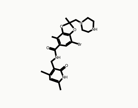 Cc1cc(C)c(CNC(=O)c2cc(Br)c3c(c2C)OC(C)(CN2CCNCC2)O3)c(=O)[nH]1